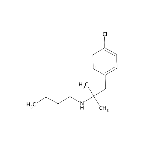 CCCCNC(C)(C)Cc1ccc(Cl)cc1